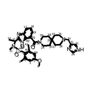 COc1cc(C)c(S(=O)(=O)N(C)C(C)c2nc3cccc(C(=O)N4CCC5(CCN(Cc6c[nH]cn6)CC5)CC4)c3[nH]2)c(C)c1